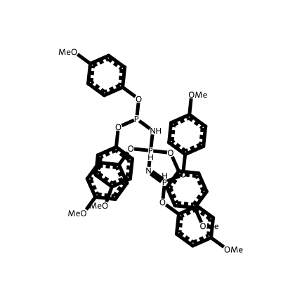 COc1ccc(OP(N[PH](N=[PH](Oc2ccc(OC)cc2)Oc2ccc(OC)cc2)(Oc2ccc(OC)cc2)Oc2ccc(OC)cc2)Oc2ccc(OC)cc2)cc1